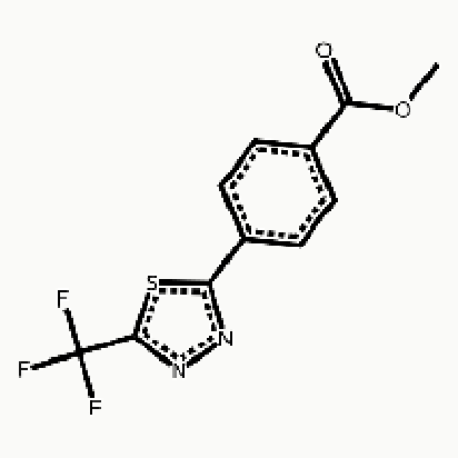 COC(=O)c1ccc(-c2nnc(C(F)(F)F)s2)cc1